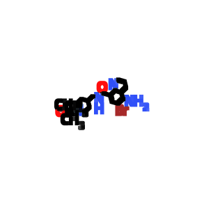 COC(C)(C)CN1CCC(CNC(=O)c2cc(Br)c(N)c3cccnc23)CC1